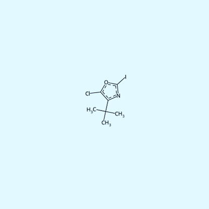 CC(C)(C)c1nc(I)oc1Cl